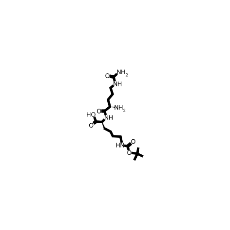 CC(C)(C)OC(=O)NCCCC[C@H](NC(=O)[C@@H](N)CCCNC(N)=O)C(=O)O